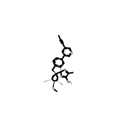 CC#Cc1cncc(-c2ccc3c(c2)[C@@]2(N=C(C)C(N)=N2)[C@@]2(C3)C[C@@H](C)[C@H](OC)[C@@H](C)C2)c1